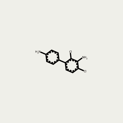 Nc1ccc(-c2ccc(Cl)c(N)c2Cl)cc1